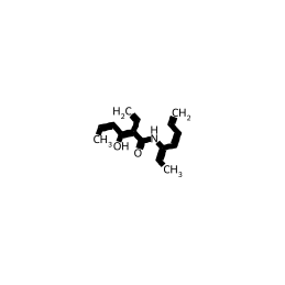 C=C/C=C\C(=C/C)NC(=O)/C(C=C)=C(O)/C=C\C